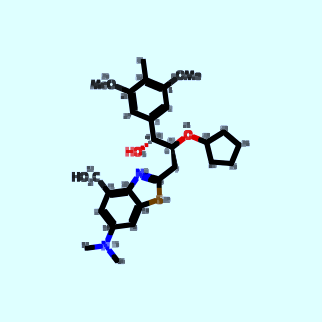 COc1cc([C@@H](O)[C@H](Cc2nc3c(C(=O)O)cc(N(C)C)cc3s2)OC2CCCC2)cc(OC)c1C